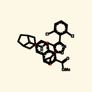 COC(=O)c1ccc2cc(N3C4CCC3CC(NCc3c(-c5c(Cl)cccc5Cl)noc3C3CC3)C4)ccc2c1